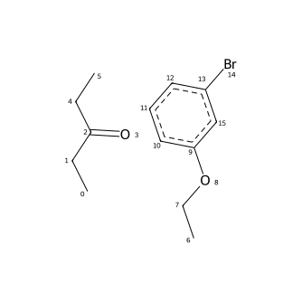 CCC(=O)CC.CCOc1cccc(Br)c1